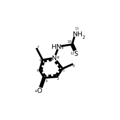 Cc1cc(=O)cc(C)n1NC(N)=S